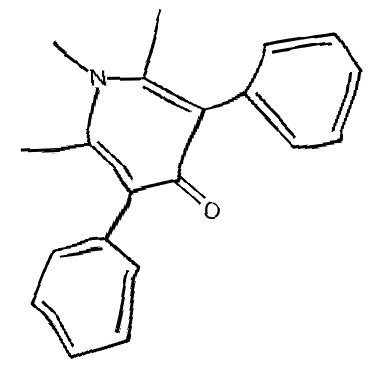 Cc1c(-c2ccccc2)c(=O)c(-c2ccccc2)c(C)n1C